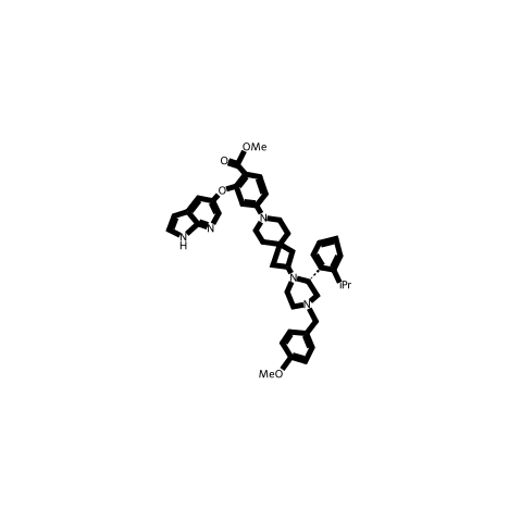 COC(=O)c1ccc(N2CCC3(CC2)CC(N2CCN(Cc4ccc(OC)cc4)C[C@H]2c2ccccc2C(C)C)C3)cc1Oc1cnc2[nH]ccc2c1